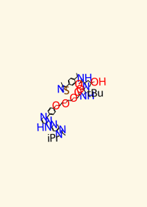 Cc1ncsc1-c1ccc(C(C)NC(=O)C2CC(O)CN2C(=O)C(NC(=O)COCCOCCOc2ccc(-c3nccc(Nc4cc5c(cn4)nc(C)n5C(C)C)n3)cc2)C(C)(C)C)cc1